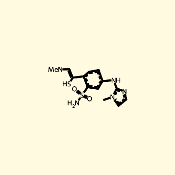 CN/C=C(\S)c1ccc(Nc2nccn2C)cc1S(N)(=O)=O